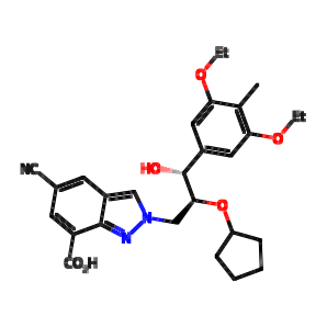 CCOc1cc([C@@H](O)[C@H](Cn2cc3cc(C#N)cc(C(=O)O)c3n2)OC2CCCC2)cc(OCC)c1C